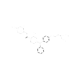 CC(=O)N1CCC(CC(=O)N2CCN(C(c3ccccc3)c3ccc(OCCN(C)C)cc3)C[C@@H]2C(C)(C)C)CC1